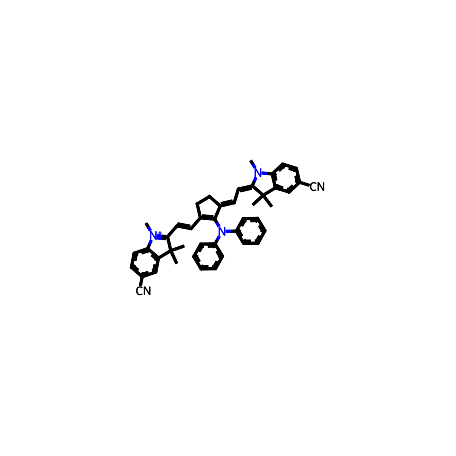 CN1/C(=C/C=C2\CCC(/C=C/C3=[N+](C)c4ccc(C#N)cc4C3(C)C)=C2N(c2ccccc2)c2ccccc2)C(C)(C)c2cc(C#N)ccc21